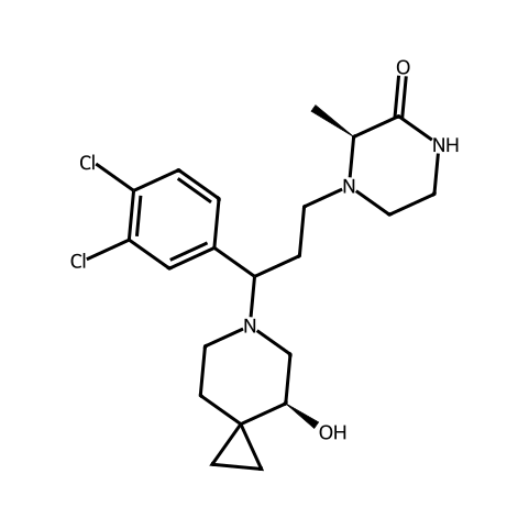 C[C@H]1C(=O)NCCN1CCC(c1ccc(Cl)c(Cl)c1)N1CCC2(CC2)[C@H](O)C1